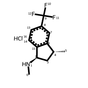 CN[C@@H]1C[C@@H](C)c2cc(C(F)(F)F)ccc21.Cl